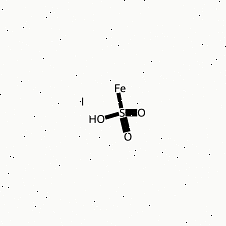 O=[S](=O)(O)[Fe].[I]